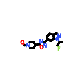 CC(CF)n1ncc2ccc(-c3noc(C4CCN(C=O)CC4)n3)cc21